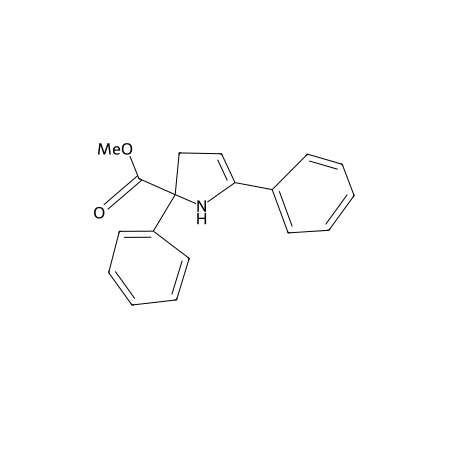 COC(=O)C1(c2ccccc2)CC=C(c2ccccc2)N1